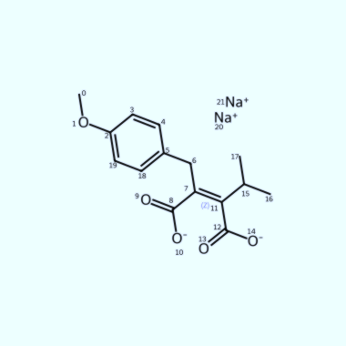 COc1ccc(C/C(C(=O)[O-])=C(/C(=O)[O-])C(C)C)cc1.[Na+].[Na+]